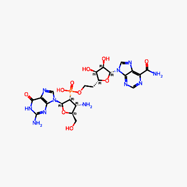 NC(=O)c1ncnc2c1ncn2[C@@H]1O[C@H](CCOP(=O)(O)[C@@H]2[C@H](N)[C@@H](CO)O[C@H]2n2cnc3c(=O)[nH]c(N)nc32)[C@@H](O)[C@H]1O